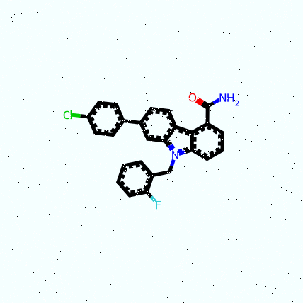 NC(=O)c1cccc2c1c1[c]cc(-c3ccc(Cl)cc3)cc1n2Cc1ccccc1F